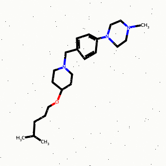 CC(C)CCCOC1CCN(Cc2ccc(N3CCN(C)CC3)cc2)CC1